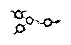 N#Cc1ccc(OC[C@@H]2C[C@H](c3ccc(Cl)cc3)[C@H](c3ccc(Cl)cc3Cl)C2)cc1